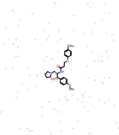 CCCCOc1ccc([C@@H](O)[C@@H](CN2CCCC2)NC(=O)CCOc2ccc(OC)cc2)cc1